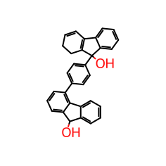 OC1c2ccccc2-c2c(-c3ccc(C4(O)C5=C(C=CCC5)c5ccccc54)cc3)cccc21